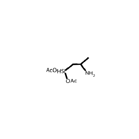 CC(=O)O[SiH](CC(C)N)OC(C)=O